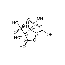 O=S(=O)(O)[C@]1(O)[C@H](O)O[C@H](CO)[C@@]1(O)S(=O)(=O)O